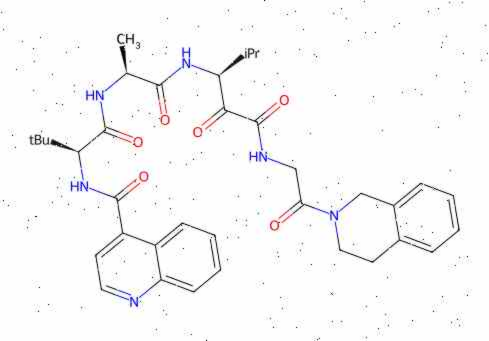 CC(C)[C@H](NC(=O)[C@H](C)NC(=O)[C@@H](NC(=O)c1ccnc2ccccc12)C(C)(C)C)C(=O)C(=O)NCC(=O)N1CCc2ccccc2C1